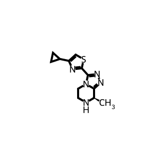 C[C@H]1NCCn2c(-c3nc(C4CC4)cs3)nnc21